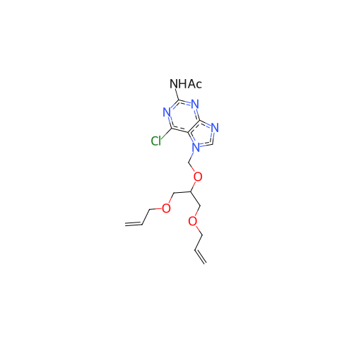 C=CCOCC(COCC=C)OCn1cnc2nc(NC(C)=O)nc(Cl)c21